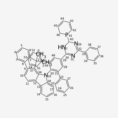 CC1(C)c2ccccc2-c2ccc3c4ccccc4n(-c4c(-c5ccccc5)cc(C5=NC(c6ccccc6)=NC(P6C=CC=CC6)N5)cc4-c4ccccc4)c3c21